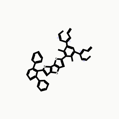 C=C/C=C(\C=C/C)c1cc(C(/C=C\C)=C/C=C)c(C)c(-c2cc3sc4cc(-c5c(-c6ccccc6)cccc5-c5ccccc5)sc4c3s2)c1C